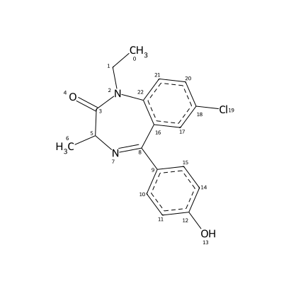 CCN1C(=O)C(C)N=C(c2ccc(O)cc2)c2cc(Cl)ccc21